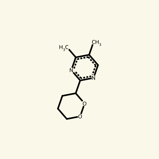 Cc1cnc(C2CCCOO2)nc1C